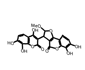 COC1Oc2c(c(=O)oc3c(O)c(O)ccc23)C1c1c(O)c2ccc(O)c(O)c2oc1=O